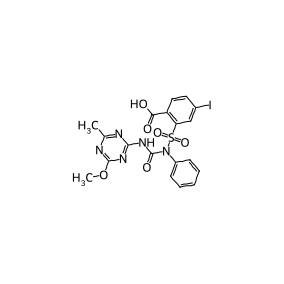 COc1nc(C)nc(NC(=O)N(c2ccccc2)S(=O)(=O)c2cc(I)ccc2C(=O)O)n1